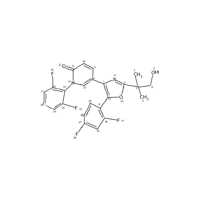 CC(C)(CO)c1nc(-c2ccc(=O)n(-c3c(F)cccc3F)c2)c(-c2ccc(F)cc2F)o1